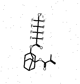 C=C(C)C(=O)OC12CC3CC(C1)CC(OC(=O)C(F)(F)C(F)(F)C(F)(F)C(F)(F)C(F)(F)F)(C3)C2